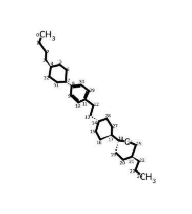 CCCC[C@H]1CC[C@H](c2ccc(CC[C@H]3CC[C@H]([C@H]4CC[C@H](CCC)CC4)CC3)cc2)CC1